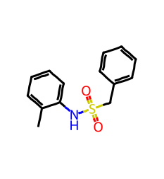 Cc1ccccc1NS(=O)(=O)Cc1ccccc1